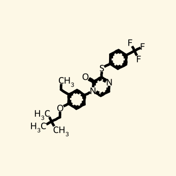 CCc1cc(-n2ccnc(Sc3ccc(C(F)(F)F)cc3)c2=O)ccc1OCC(C)(C)C